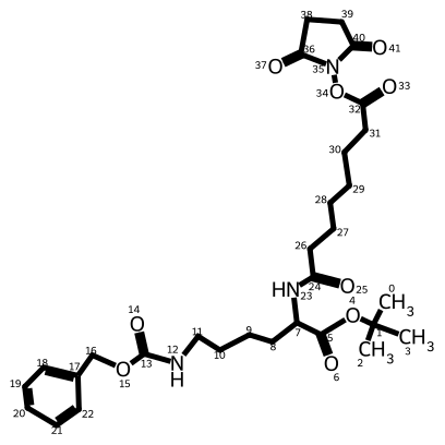 CC(C)(C)OC(=O)C(CCCCNC(=O)OCc1ccccc1)NC(=O)CCCCCCC(=O)ON1C(=O)CCC1=O